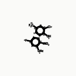 CC(=O)Oc1cc(F)ccc1[N+](=O)[O-].Oc1ccc(C(F)(F)F)cc1Cl